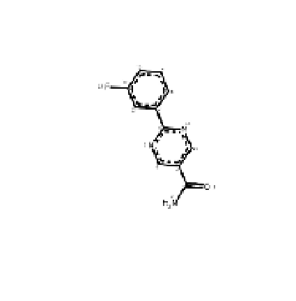 NC(=O)c1cnc(-c2cccc(F)c2)nc1